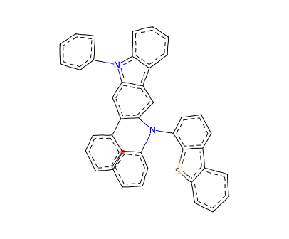 c1ccc(-c2cc3c(cc2N(c2ccccc2)c2cccc4c2sc2ccccc24)c2ccccc2n3-c2ccccc2)cc1